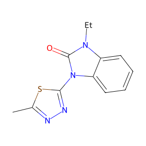 CCn1c(=O)n(-c2nnc(C)s2)c2ccccc21